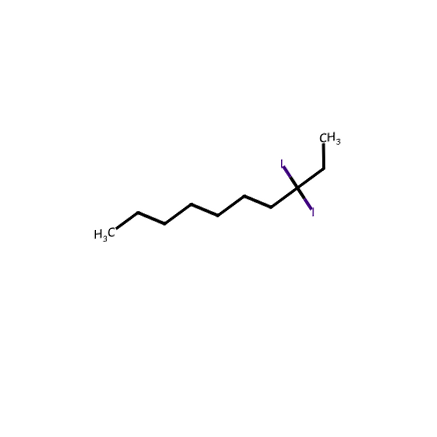 CCCCCCCC(I)(I)CC